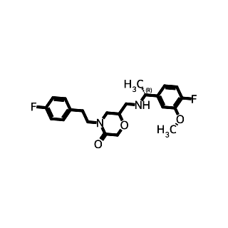 COc1cc([C@@H](C)NCC2CN(CCc3ccc(F)cc3)C(=O)CO2)ccc1F